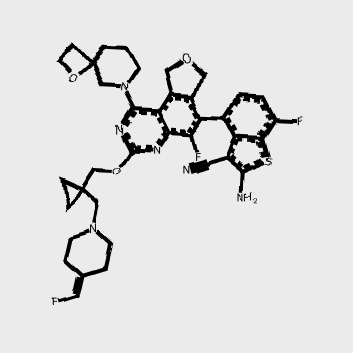 N#Cc1c(N)sc2c(F)ccc(-c3c4c(c5c(N6CCCC7(CCO7)C6)nc(OCC6(CN7CCC(=CF)CC7)CC6)nc5c3F)COC4)c12